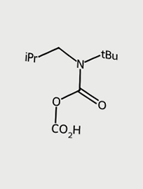 CC(C)CN(C(=O)OC(=O)O)C(C)(C)C